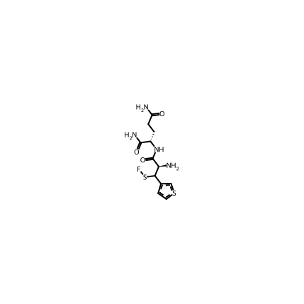 NC(=O)CC[C@H](NC(=O)[C@@H](N)C(SF)c1ccsc1)C(N)=O